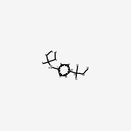 CCC(C)(CC)Sc1ccc(C(C)(C)CC)cc1